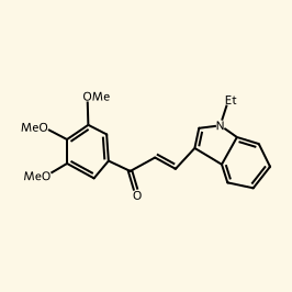 CCn1cc(C=CC(=O)c2cc(OC)c(OC)c(OC)c2)c2ccccc21